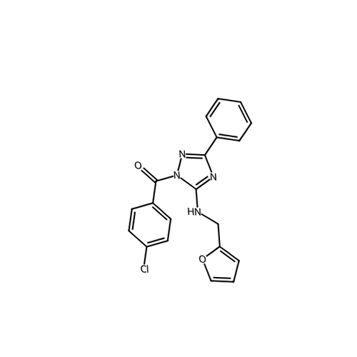 O=C(c1ccc(Cl)cc1)n1nc(-c2ccccc2)nc1NCc1ccco1